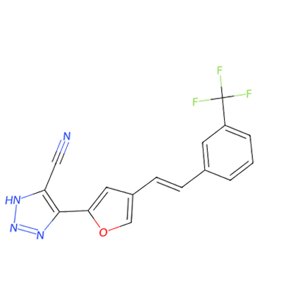 N#Cc1[nH]nnc1-c1cc(/C=C/c2cccc(C(F)(F)F)c2)co1